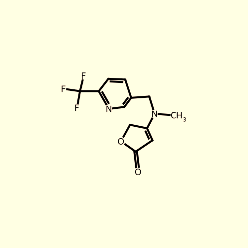 CN(Cc1ccc(C(F)(F)F)nc1)C1=CC(=O)OC1